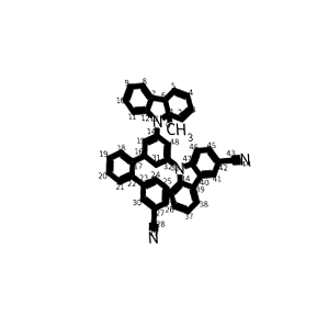 CC12C=CC=CC1c1ccccc1N2C1=CC(c2ccccc2-c2cccc(C#N)c2)CC(n2c3ccccc3c3cc(C#N)ccc32)=C1